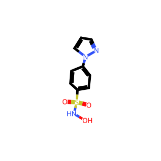 O=S(=O)(NO)c1ccc(-n2cccn2)cc1